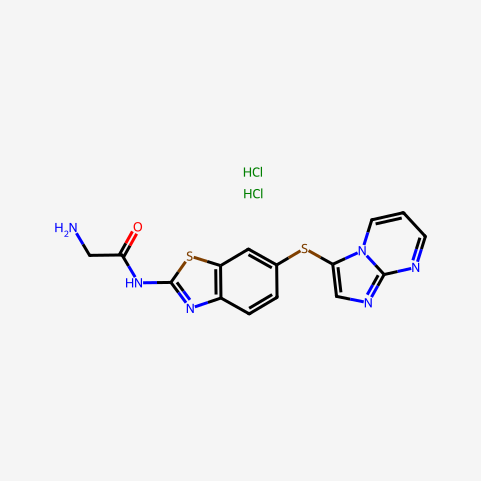 Cl.Cl.NCC(=O)Nc1nc2ccc(Sc3cnc4ncccn34)cc2s1